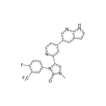 Cn1cc(-c2cc(-c3cnc4[nH]ccc4c3)ccn2)n(-c2ccc(F)c(C(F)(F)F)c2)c1=O